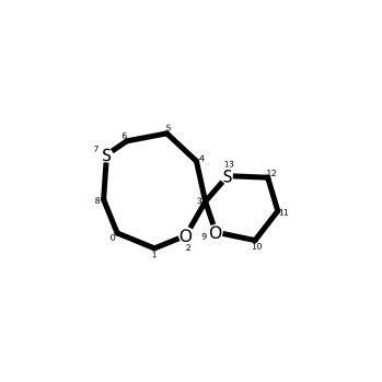 C1COC2(CCCSC1)OCCCS2